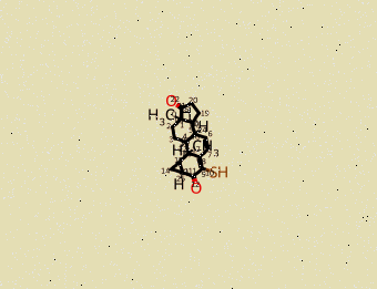 C[C@]12CC[C@H]3[C@@H](C=CC4=C(S)C(=O)[C@H]5CC5[C@@]43C)[C@@H]1CCC2=O